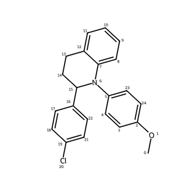 COc1ccc(N2c3ccccc3CCC2c2ccc(Cl)cc2)cc1